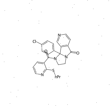 CCCSc1ncccc1C(=O)N1CCN2C(=O)c3ccncc3C21c1ccc(Cl)cc1